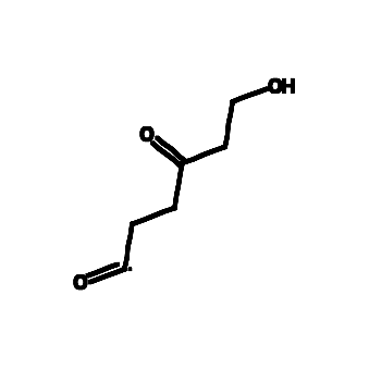 O=[C]CCC(=O)CCO